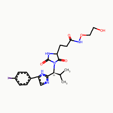 CC(C)[C@@H](c1ncc(-c2ccc(I)cc2)[nH]1)N1C(=O)NC(CCC(=O)NOCCO)C1=O